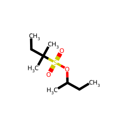 CCC(C)OS(=O)(=O)C(C)(C)CC